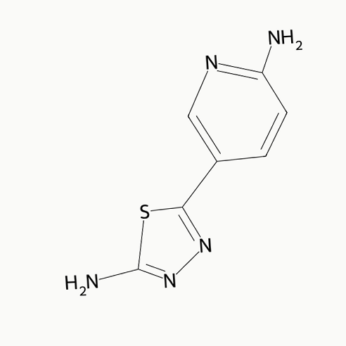 Nc1ccc(-c2nnc(N)s2)cn1